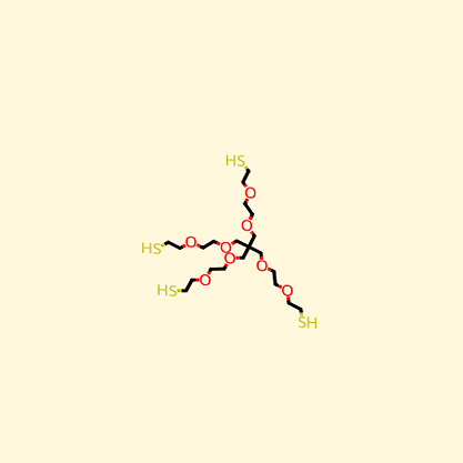 SCCOCCOCC(COCCOCCS)(COCCOCCS)COCCOCCS